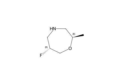 C[C@@H]1CNC[C@@H](F)CO1